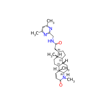 Cc1cc(C)nc(CNC(=O)C[C@H]2CC[C@H]3[C@@H]4CC[C@H]5N(C)C(=O)C=C[C@]5(C)[C@H]4CC[C@]23C)n1